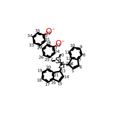 C[Si](C)=[Zr+2]([CH]1C=Cc2ccccc21)[CH]1C=Cc2ccccc21.[O-]c1ccccc1.[O-]c1ccccc1